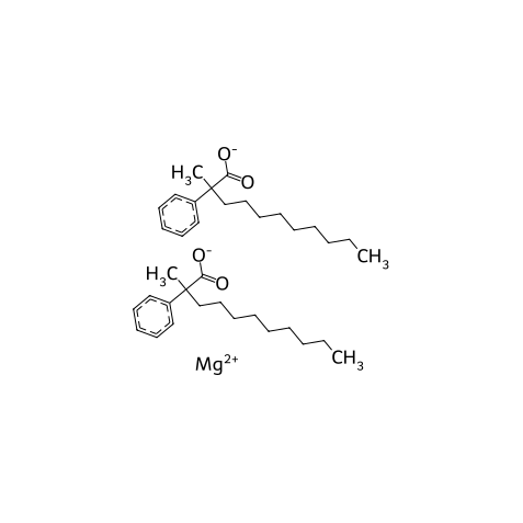 CCCCCCCCCC(C)(C(=O)[O-])c1ccccc1.CCCCCCCCCC(C)(C(=O)[O-])c1ccccc1.[Mg+2]